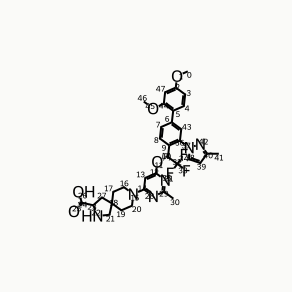 COc1ccc(-c2ccc([C@@H](Oc3cc(N4CCC5(CC4)CNC(C(=O)O)C5)nc(C)n3)C(F)(F)F)c(-n3ccc(C)n3)c2)c(OC)c1